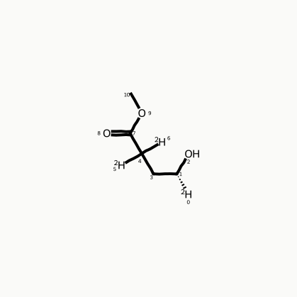 [2H][C@@H](O)CC([2H])([2H])C(=O)OC